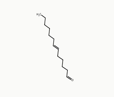 CCCCCCC=CCCCCC=O